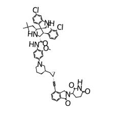 COc1cc(N2CCC[C@H]([C@@H]3C[C@@H]3C#Cc3cccc4c3CN(C3CCC(=O)NC3=O)C4=O)C2)ccc1NC(=O)[C@@H]1N[C@@H](CC(C)(C)C)[C@@]2(CNc3cc(Cl)ccc32)[C@H]1c1cccc(Cl)c1F